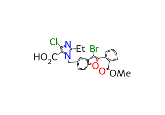 CCc1nc(Cl)c(C(=O)O)n1Cc1ccc2oc(-c3ccccc3C(=O)OC)c(Br)c2c1